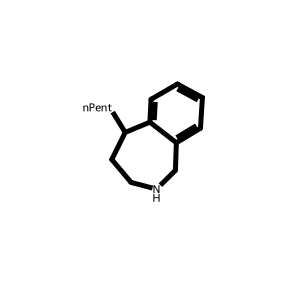 CCCCCC1CCNCc2ccccc21